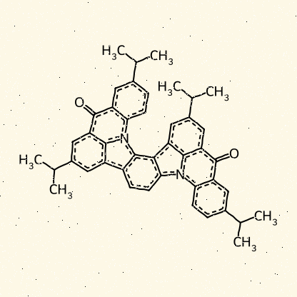 CC(C)c1ccc2c(c1)c(=O)c1cc(C(C)C)cc3c4c(ccc5c6cc(C(C)C)cc7c(=O)c8cc(C(C)C)ccc8n(c76)c54)n2c13